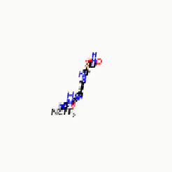 CC(C)(C(=O)Nc1cnc(C#N)c(C(F)(F)F)c1)n1cc(C#CC2CN(c3ccc(SC4CCC(=O)NC4=O)cn3)C2)cn1